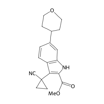 COC(=O)c1[nH]c2cc(C3CCOCC3)ccc2c1C1(C#N)CC1